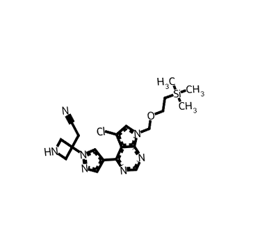 C[Si](C)(C)CCOCn1cc(Cl)c2c(-c3cnn(C4(CC#N)CNC4)c3)ncnc21